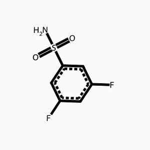 NS(=O)(=O)c1cc(F)cc(F)c1